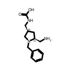 NC[C@@H]1C[C@H](CNC(=O)O)CN1Cc1ccccc1